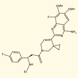 CCN[C@H](CC(=O)N1CC=C(c2nc(N)c3cc(OC)c(OC)c(F)c3n2)C2(CC2)C1)c1ccc(F)cc1